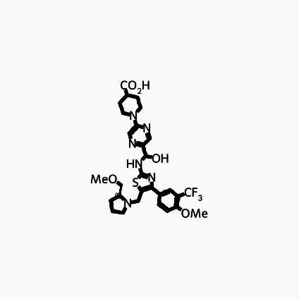 COC[C@@H]1CCCN1Cc1sc(NC(O)c2cnc(N3CCC(C(=O)O)CC3)cn2)nc1-c1ccc(OC)c(C(F)(F)F)c1